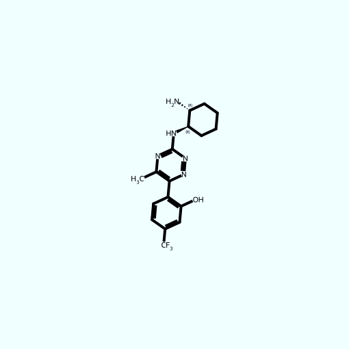 Cc1nc(N[C@@H]2CCCC[C@H]2N)nnc1-c1ccc(C(F)(F)F)cc1O